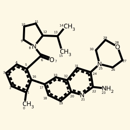 Cc1cccc(C(=O)N2CCCC2C(C)C)c1-c1ccc2nc(N)c(N3CCOCC3)cc2c1